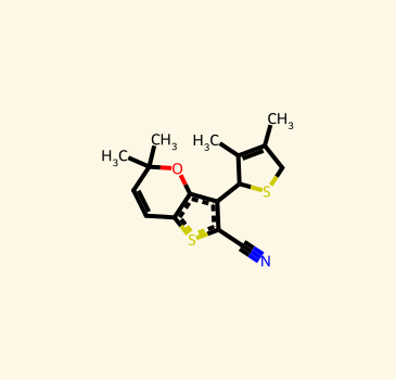 CC1=C(C)C(c2c(C#N)sc3c2OC(C)(C)C=C3)SC1